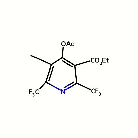 CCOC(=O)c1c(C(F)(F)F)nc(C(F)(F)F)c(C)c1OC(C)=O